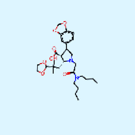 CCCCN(CCCC)C(=O)CN1CC(c2ccc3c(c2)OCO3)[C@H](C(=O)O)[C@H]1CC(C)(C)C1OCCO1